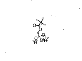 [3H]O[Si](COC(=O)C(C)(C)C)(O[3H])O[3H]